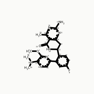 COc1nc(-c2cc(F)ccc2C2Cc3nc(N)nc(C)c3C(=O)N2)cnc1N(C)C